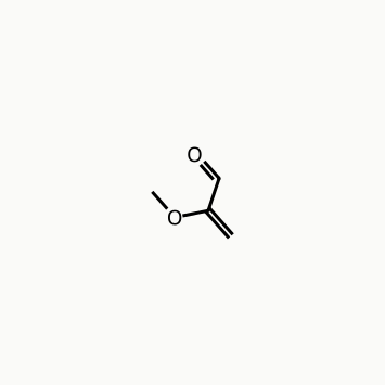 C=C(C=O)OC